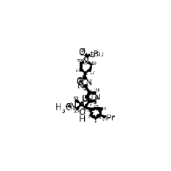 CC(C)c1ccc([C@](O)(c2cncc(-c3noc(C4CCN(C(=O)C(C)(C)C)CC4)n3)c2)C2(C)CN(C)C2)cc1